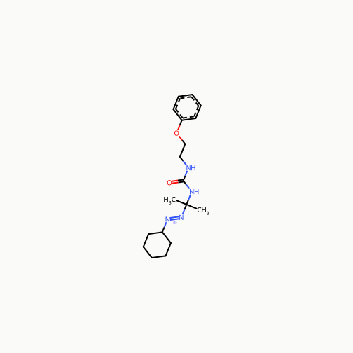 CC(C)(/N=N/C1CCCCC1)NC(=O)NCCOc1ccccc1